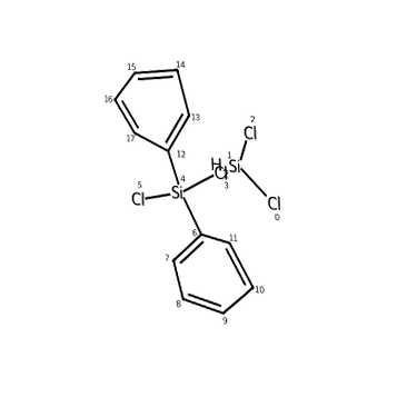 Cl[SiH2]Cl.Cl[Si](Cl)(c1ccccc1)c1ccccc1